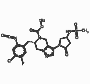 CC(C)(C)OC(=O)N1Cc2c(N3CC(NS(C)(=O)=O)CC3=O)cnn2C[C@@H]1Cc1cc(F)c(Cl)cc1N=C=O